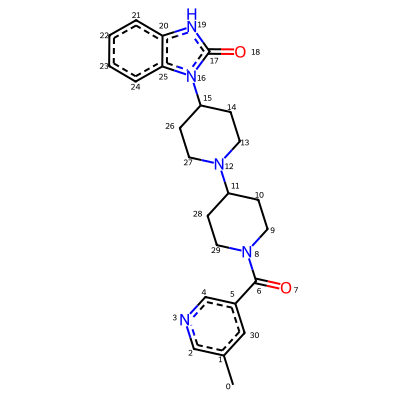 Cc1cncc(C(=O)N2CCC(N3CCC(n4c(=O)[nH]c5ccccc54)CC3)CC2)c1